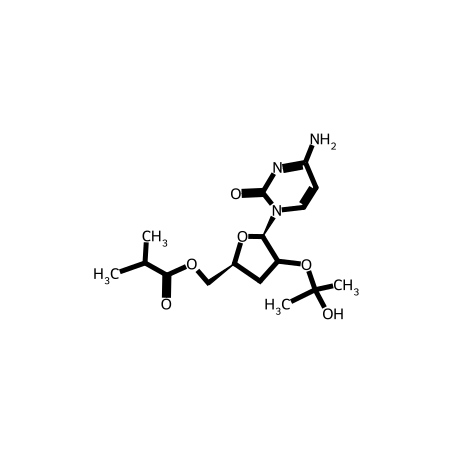 CC(C)C(=O)OC[C@@H]1CC(OC(C)(C)O)[C@H](n2ccc(N)nc2=O)O1